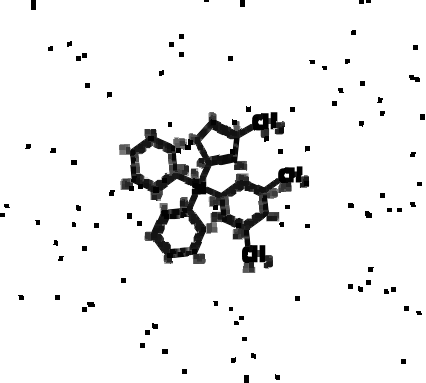 CC1=CCC([Si](c2ccccc2)(c2ccccc2)c2cc(C)cc(C)c2)=C1